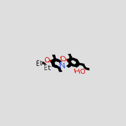 CCC(CC)Oc1cc(C)nc(Oc2c(C)cc(CC(C)O)cc2C)c1C